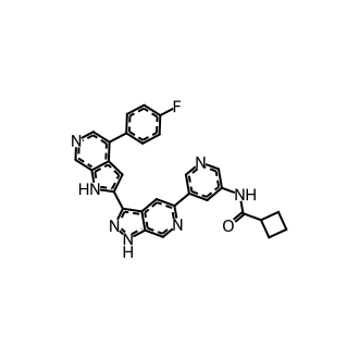 O=C(Nc1cncc(-c2cc3c(-c4cc5c(-c6ccc(F)cc6)cncc5[nH]4)n[nH]c3cn2)c1)C1CCC1